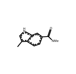 CNC(=O)c1ccc2c(C)c[nH]c2c1